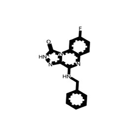 O=c1[nH]nc2c(NCc3ccccc3)nc3ccc(F)cc3n12